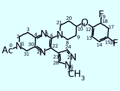 CC(=O)N1CCc2nc(N3CCC(OC4=CC=C(F)CC4F)CC3)c(-c3cnn(C)c3)nc2C1